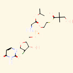 CC(C)OC(=O)[C@@H](C)N[P@@](=O)(OCCSC(=O)C(C)(C)CO)OC[C@H]1O[C@@H](n2ccc(=O)[nH]c2=O)[C@](C)(Cl)[C@@H]1O